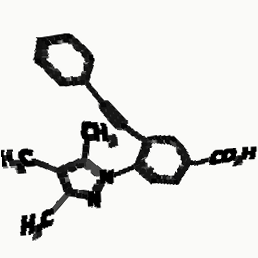 Cc1nn(-c2ccc(C(=O)O)cc2C#Cc2ccccc2)c(C)c1C